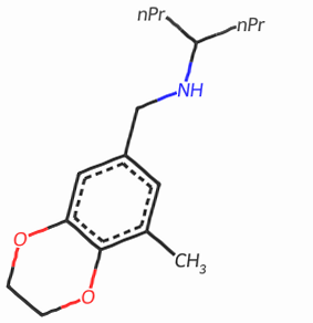 CCCC(CCC)NCc1cc(C)c2c(c1)OCCO2